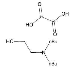 CCCCN(CCO)CCCC.O=C(O)C(=O)O